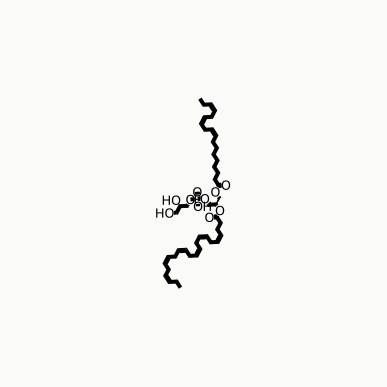 CC/C=C\C/C=C\C/C=C\C/C=C\C/C=C\C/C=C\CCC(=O)O[C@H](COC(=O)CCCCCCC/C=C\C/C=C\C/C=C\CC)COP(=O)(O)OC[C@@H](O)CO